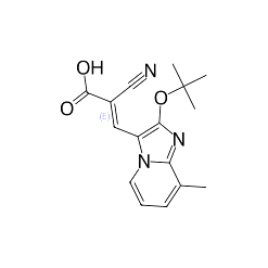 Cc1cccn2c(/C=C(\C#N)C(=O)O)c(OC(C)(C)C)nc12